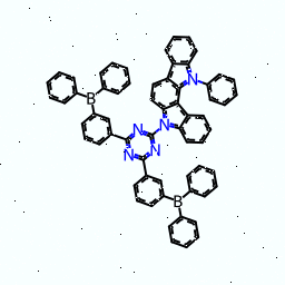 c1ccc(B(c2ccccc2)c2cccc(-c3nc(-c4cccc(B(c5ccccc5)c5ccccc5)c4)nc(-n4c5ccccc5c5c4ccc4c6ccccc6n(-c6ccccc6)c45)n3)c2)cc1